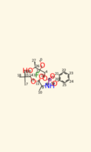 CO[C@](F)(COP(=O)(NC(C)C(=O)OCC(C)(C)C)Oc1ccccc1)[C@H](C)O